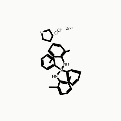 C1CCOC1.Cc1cccc(C)c1N[Si](Nc1c(C)cccc1C)(c1ccccc1)c1ccccc1.[Cl-].[Cl-].[Zr+2]